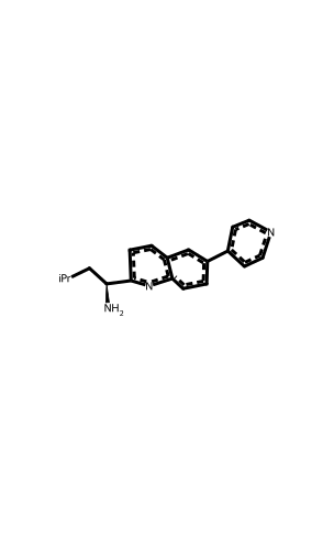 CC(C)C[C@H](N)c1ccc2cc(-c3ccncc3)ccc2n1